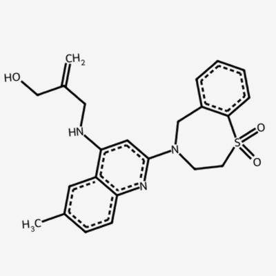 C=C(CO)CNc1cc(N2CCS(=O)(=O)c3ccccc3C2)nc2ccc(C)cc12